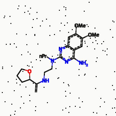 C=C(NCCN(CCC)c1nc(N)c2cc(OC)c(OC)cc2n1)C1CCCO1